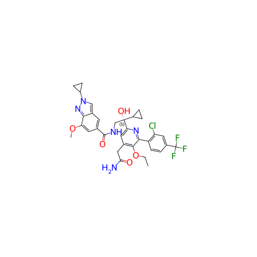 CCOc1c(CC(N)=O)cc([C@@](O)(CNC(=O)c2cc(OC)c3nn(C4CC4)cc3c2)C2CC2)nc1-c1ccc(C(F)(F)F)cc1Cl